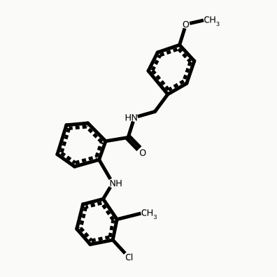 COc1ccc(CNC(=O)c2ccccc2Nc2cccc(Cl)c2C)cc1